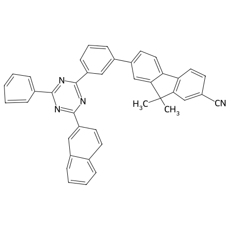 CC1(C)c2cc(C#N)ccc2-c2ccc(-c3cccc(-c4nc(-c5ccccc5)nc(-c5ccc6ccccc6c5)n4)c3)cc21